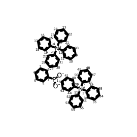 [O-]P([O-])c1ccccc1.c1ccc([N+](c2ccccc2)(c2ccccc2)c2ccccc2)cc1.c1ccc([N+](c2ccccc2)(c2ccccc2)c2ccccc2)cc1